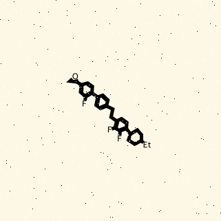 CCC1CCC(c2ccc(CCc3ccc(-c4ccc(C5CO5)cc4F)cc3)c(F)c2F)CC1